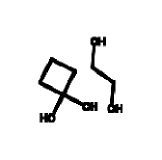 OC1(O)CCC1.OCCO